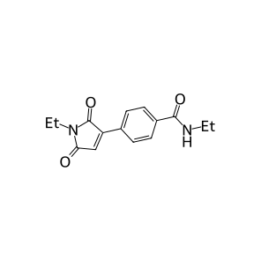 CCNC(=O)c1ccc(C2=CC(=O)N(CC)C2=O)cc1